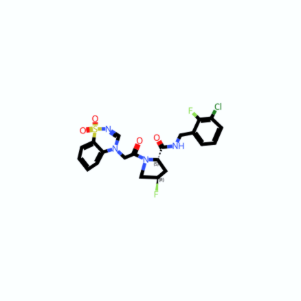 O=C(NCc1cccc(Cl)c1F)[C@@H]1C[C@@H](F)CN1C(=O)CN1C=NS(=O)(=O)c2ccccc21